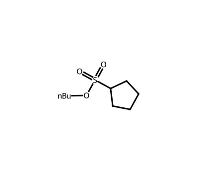 CCCCOS(=O)(=O)C1CCCC1